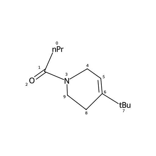 CCCC(=O)N1CC=C(C(C)(C)C)CC1